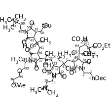 CCCCCCCCCCCCN1C(=O)C(CC(C)(C)C2C(=O)N(CCN(C)C)C(=O)C2CC(C)(C)C2C(=O)N(C(C)COCCOC)C(=O)C2CC(C)(C)C2C(=O)N(CC[N+](C)(C)C)C(=O)C2CC(C)(C)C)C(C(C)(C)CC(C(=O)O)C(C)C(=O)OCC)C1=O